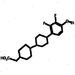 CCOc1ccc(C2CCC(C3CCC(CC(=O)O)CC3)CC2)c(F)c1F